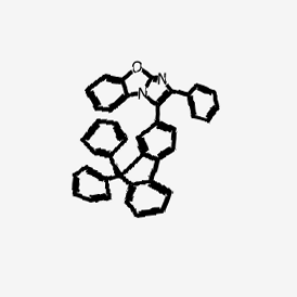 c1ccc(-c2nc3oc4ccccc4n3c2-c2ccc3c(c2)C(c2ccccc2)(c2ccccc2)c2ccccc2-3)cc1